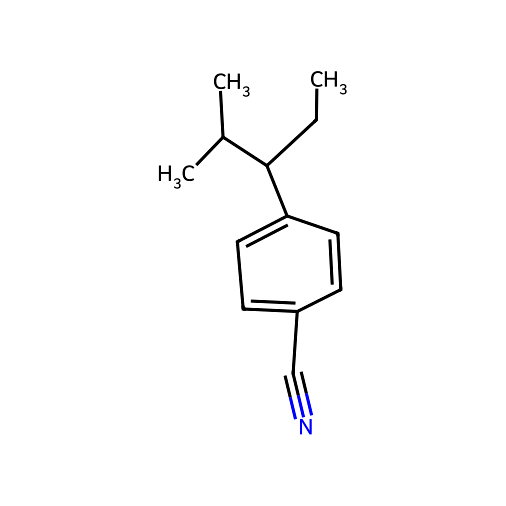 CCC(c1ccc(C#N)cc1)C(C)C